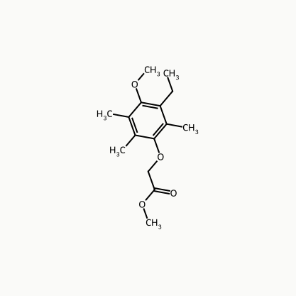 CCc1c(C)c(OCC(=O)OC)c(C)c(C)c1OC